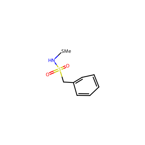 CSNS(=O)(=O)Cc1ccccc1